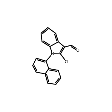 O=Cc1c(Cl)n(-c2cccc3ccccc23)c2ccccc12